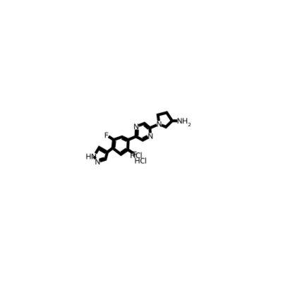 Cl.Cl.NC1CCN(c2cnc(-c3cc(F)c(-c4cn[nH]c4)cc3F)cn2)C1